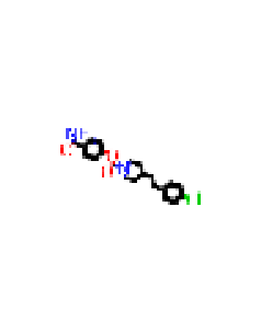 NC(=O)c1ccc(OC(=O)N2CCC(CCc3ccc(Cl)cc3)CC2)cc1